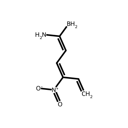 B/C(N)=C/C=C(\C=C)[N+](=O)[O-]